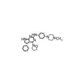 CN1CCN(c2ccc(Nc3nc(N4OCC[C@@H]4c4ccccc4)c4cc[nH]c4n3)cc2)CC1